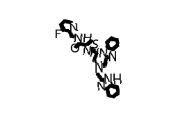 O=C(NCc1ncccc1F)c1csc(CCN(Cc2nc3ccccc3[nH]2)Cc2nc3ccccc3[nH]2)n1